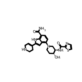 NC(=O)c1ccc(N2CC[C@@H](O)[C@H](NC(=O)c3nccs3)C2)c2cc(C3=CCNCC3)[nH]c12